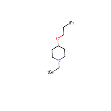 CC(C)CCOC1CCN(CC(C)(C)C)CC1